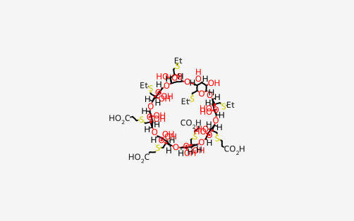 CCSCC1O[C@H]2O[C@@H]3C(CSCC)O[C@H](O[C@@H]4C(CSCC)O[C@H](O[C@@H]5C(CSCCC(=O)O)O[C@H](O[C@@H]6C(CSCCC(=O)O)O[C@H](O[C@@H]7C(CSCCC(=O)O)O[C@H](O[C@@H]8C(CSCCC(=O)O)O[C@H](O[C@@H]9C(CSCC)O[C@H](O[C@H](C2O)[C@@H]1O)C(O)[C@H]9O)C(O)[C@H]8O)C(O)[C@H]7O)C(O)[C@H]6O)C(O)[C@H]5O)C(O)[C@H]4O)C(O)[C@H]3O